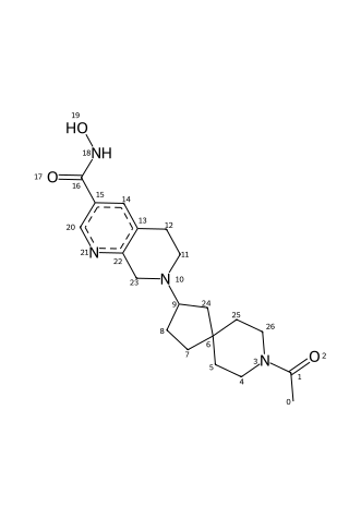 CC(=O)N1CCC2(CCC(N3CCc4cc(C(=O)NO)cnc4C3)C2)CC1